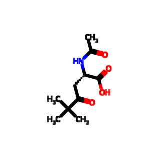 CC(=O)N[C@@H](CC(=O)C(C)(C)C)C(=O)O